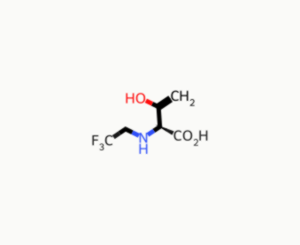 C=C(O)[C@H](NCC(F)(F)F)C(=O)O